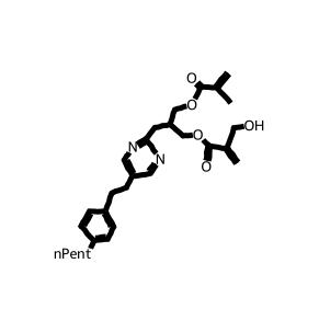 C=C(C)C(=O)OCC(COC(=O)C(=C)CO)Cc1ncc(CCc2ccc(CCCCC)cc2)cn1